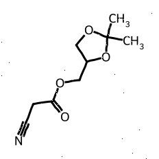 CC1(C)OCC(COC(=O)CC#N)O1